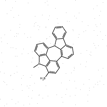 Bc1ccc2c3cccc4c5ccccc5n(c5cccc6c5c2c1n6C)c34